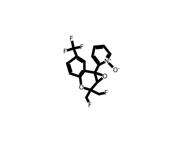 [O-][n+]1ccccc1C12OC1C(CF)(CF)Oc1ccc(C(F)(F)F)cc12